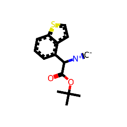 [C-]#[N+]C(C(=O)OC(C)(C)C)c1cccc2sccc12